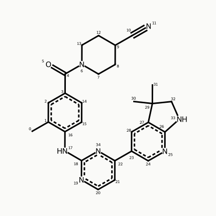 Cc1cc(C(=O)N2CCC(C#N)CC2)ccc1Nc1nccc(-c2cnc3c(c2)C(C)(C)CN3)n1